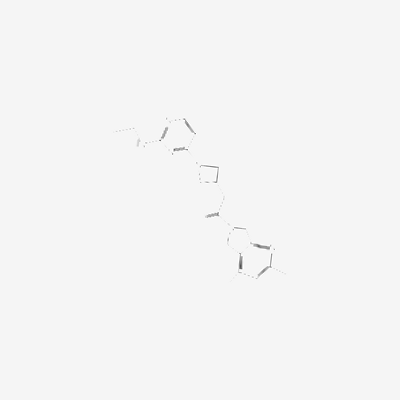 CCNc1nccc(N2CC(CC(=O)N3Cc4nc(C)cc(C)c4C3)C2)n1